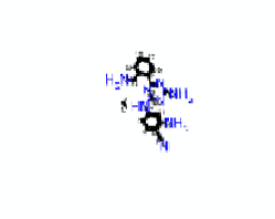 CC.N#Cc1ccc(Nc2nc(N)nc(-c3ccccc3CN)n2)cc1N